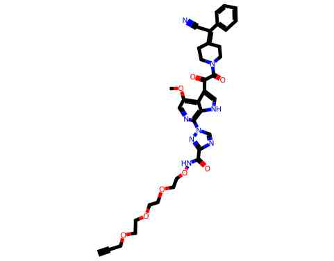 C#CCOCCOCCOCCONC(=O)c1ncn(-c2ncc(OC)c3c(C(=O)C(=O)N4CCC(=C(C#N)c5ccccc5)CC4)c[nH]c23)n1